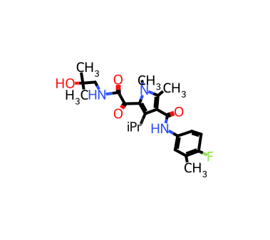 Cc1cc(NC(=O)c2c(C(C)C)c(C(=O)C(=O)NCC(C)(C)O)n(C)c2C)ccc1F